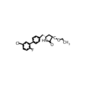 CCOC[C@@H]1C[C@@H](Cc2ccc(-c3cc(Cl)ccc3F)cc2)NC1=O